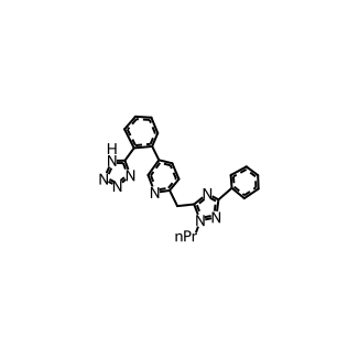 CCCn1nc(-c2ccccc2)nc1Cc1ccc(-c2ccccc2-c2nnn[nH]2)cn1